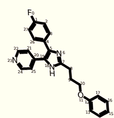 Fc1ccc(-c2nc(CCCOc3ccccc3)[nH]c2-c2ccncc2)cc1